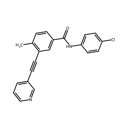 Cc1ccc(C(=O)Nc2ccc(Cl)cc2)cc1C#Cc1cccnc1